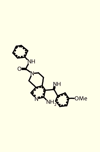 COc1cccc(C(=N)c2c(N)ncc3c2CCN(C(=O)Nc2ccccc2)C3)c1